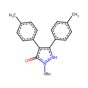 CCCCn1[nH]c(-c2ccc(C)cc2)c(-c2ccc(C)cc2)c1=O